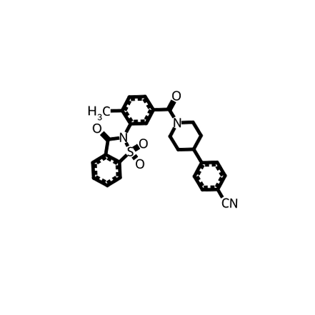 Cc1ccc(C(=O)N2CCC(c3ccc(C#N)cc3)CC2)cc1N1C(=O)c2ccccc2S1(=O)=O